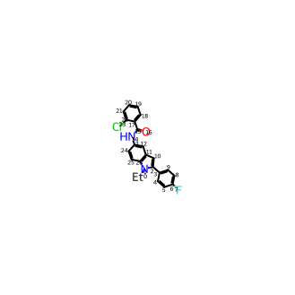 CCn1c(-c2ccc(F)cc2)cc2cc(NC(=O)c3ccccc3Cl)ccc21